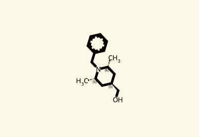 C[C@@H]1C[C@@H](CO)C[C@H](C)N1Cc1ccccc1